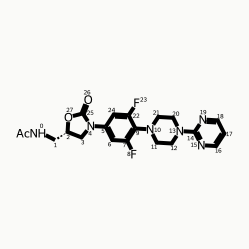 CC(=O)NC[C@H]1CN(c2cc(F)c(N3CCN(c4ncccn4)CC3)c(F)c2)C(=O)O1